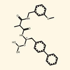 COc1cccc(CNC(=O)C(C)C(=O)N[C@@H](Cc2ccc(-c3ccccc3)cc2)OB(O)O)c1